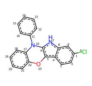 Clc1ccc2c3c([nH]c2c1)N(c1ccccc1)c1ccccc1O3